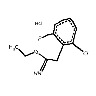 CCOC(=N)Cc1c(F)cccc1Cl.Cl